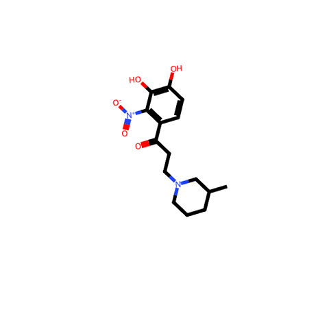 CC1CCCN(CCC(=O)c2ccc(O)c(O)c2[N+](=O)[O-])C1